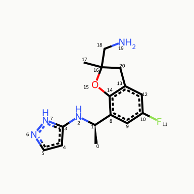 C[C@@H](Nc1ccn[nH]1)c1cc(F)cc2c1OC(C)(CN)C2